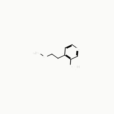 CCCCOCCc1ccncc1C(=O)O